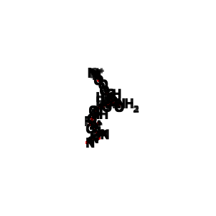 Cc1ccc(N2CCC[C@H](N(Cc3ccnc(C)c3)Cc3cn(C4CC4)c4cc(OCCNC(=O)OCc5ccc(NC(=O)C(CCCNC(N)=O)NC(=O)C(NC(=O)CCOCCOCCOCCN=[N+]=[N-])C(C)C)cc5)c(F)cc4c3=O)C2)cn1